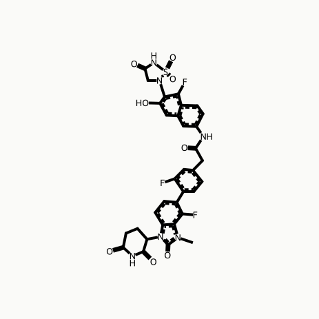 Cn1c(=O)n(C2CCC(=O)NC2=O)c2ccc(-c3ccc(CC(=O)Nc4ccc5c(F)c(N6CC(=O)NS6(=O)=O)c(O)cc5c4)cc3F)c(F)c21